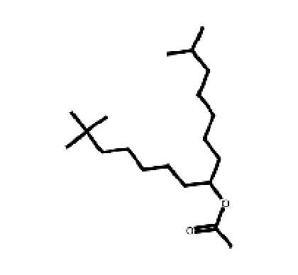 CC(=O)OC(CCCCCC(C)C)CCCCCC(C)(C)C